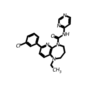 CCN1CCCN(C(=O)Nc2ccncn2)c2nc(-c3cccc(Cl)c3)ccc21